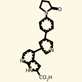 O=C(O)c1cc2c(-c3cncc(-c4ccc(N5CCCC5=O)cc4)c3)ccnc2[nH]1